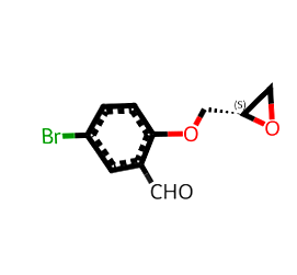 O=Cc1cc(Br)ccc1OC[C@@H]1CO1